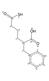 O=C(S)CCCC(Cc1ccccc1)C(=O)O